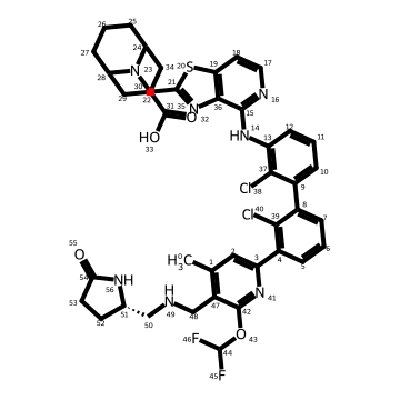 Cc1cc(-c2cccc(-c3cccc(Nc4nccc5sc(CN6C7CCCC6CC(C(=O)O)C7)nc45)c3Cl)c2Cl)nc(OC(F)F)c1CNC[C@@H]1CCC(=O)N1